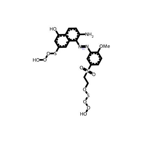 COc1ccc(S(=O)(=O)CCOSOOO)cc1/N=N/c1c(N)ccc2c(O)cc(SOOO)cc12